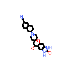 N#Cc1ccc2c(c1)CCC(N1CCC3(CC1)CC(=O)c1cc4[nH]c(=O)[nH]c4cc1O3)C2